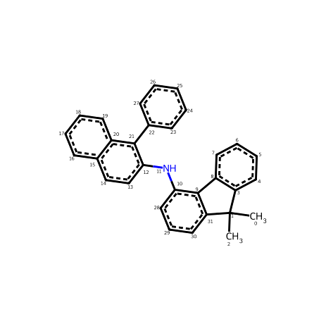 CC1(C)c2ccccc2-c2c(Nc3ccc4ccccc4c3-c3ccccc3)cccc21